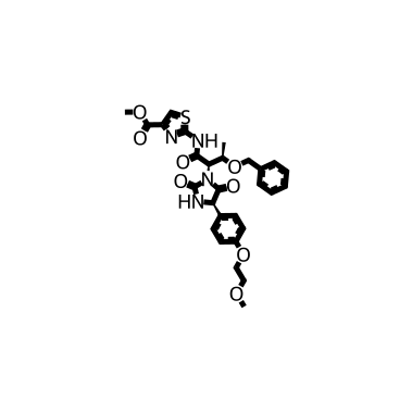 COCCOc1ccc([C@H]2NC(=O)N([C@H](C(=O)Nc3nc(C(=O)OC)cs3)[C@@H](C)OCc3ccccc3)C2=O)cc1